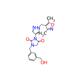 Cc1noc(C)c1Cn1cc(N2C(=O)CN(Cc3cccc(CO)c3)C2=O)cn1